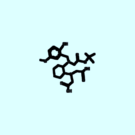 COc1ccc(O)c(CN(CC(=O)OC(C)(C)C)C2CCCCC2N(CC(=O)O)CC(=O)O)c1